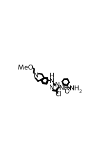 COCCN1CCc2ccc(Nc3ncc(Cl)c(N[C@@H]4CCCC[C@H]4C(N)=O)n3)cc2CC1